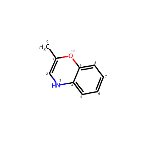 CC1=CNc2ccccc2O1